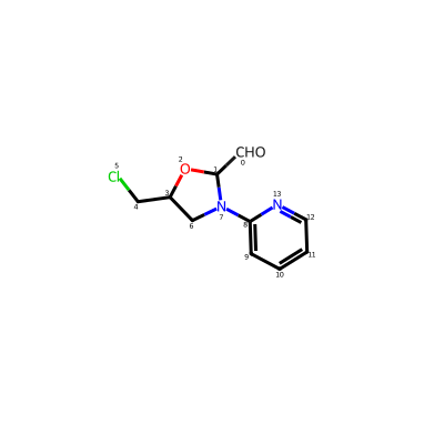 O=CC1OC(CCl)CN1c1ccccn1